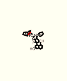 C#Cc1cccc2cc(O)cc(-c3ccc4c(N5CC6CCC(C5)N6)nc(OCC5(CN6C7CCC6CC(F)(F)C7)CC5)nc4c3F)c12